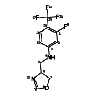 Fc1cc(NCC2CO[C]=N2)ccc1C(F)(F)F